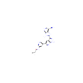 CC(C)CC(=O)Nc1cncc(-c2cnc3[nH]nc(-c4nc5c(C#N)cncc5n4N)c3c2)c1